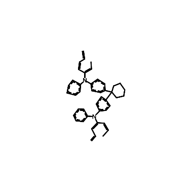 C=C/C=C\C(=C/C)N(c1ccccc1)c1ccc(C2(c3ccc(N(C(/C=C\C)=C/C=C)c4ccccc4)cc3)CCCCC2)cc1